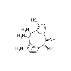 Cc1c2ccc(N)c1/C(N)=C(/N)c1cc(ccc1S)C(=N)C2=N